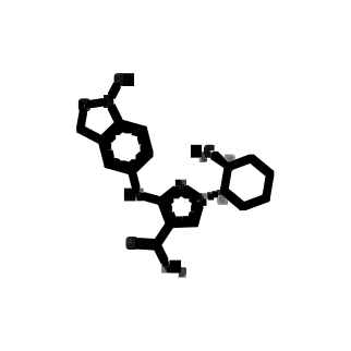 C[C@H]1CCCC[C@@H]1n1cc(C(N)=O)c(Nc2ccc3c(c2)COB3O)n1